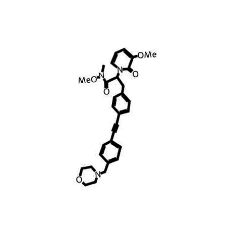 COc1cccn(C(Cc2ccc(C#Cc3ccc(CN4CCOCC4)cc3)cc2)C(=O)N(C)OC)c1=O